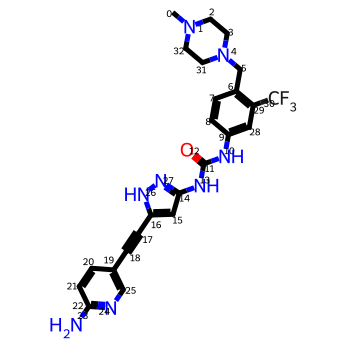 CN1CCN(Cc2ccc(NC(=O)Nc3cc(C#Cc4ccc(N)nc4)[nH]n3)cc2C(F)(F)F)CC1